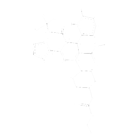 CCOC(=O)CC1CCC(C2=C(C(=O)OC)C(c3cccc(F)c3Cl)N(C(=O)OC(C)(C)C)C(c3nccs3)=N2)CC1